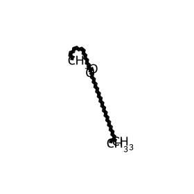 CC/C=C\C/C=C\C/C=C\CCCCCCCC(=O)OCCCCCCCCCCCCCCCCCCCCCCCCCCCC(C)CC